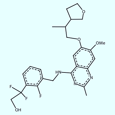 COc1cc2nc(C)nc(NCc3cccc(C(F)(F)CO)c3F)c2cc1OCC(C)C1CCOC1